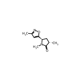 Cc1cc([C@H]2C[C@H](C)C(=O)N2C)on1